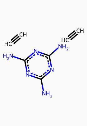 C#C.C#C.Nc1nc(N)nc(N)n1